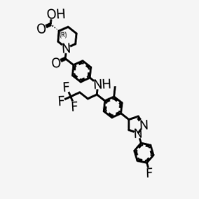 Cc1cc(C2C=NN(c3ccc(F)cc3)C2)ccc1C(CCC(F)(F)F)Nc1ccc(C(=O)N2CCC[C@@H](C(=O)O)C2)cc1